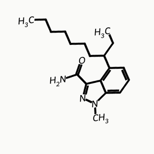 CCCCCCCC(CC)c1cccc2c1c(C(N)=O)nn2C